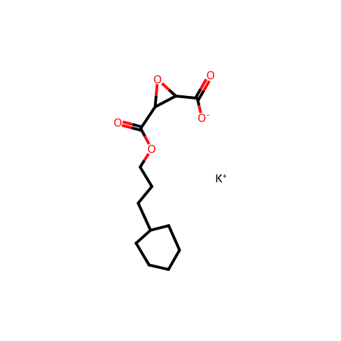 O=C([O-])C1OC1C(=O)OCCCC1CCCCC1.[K+]